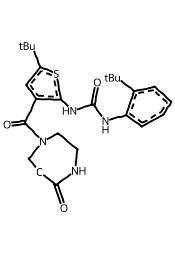 CC(C)(C)c1cc(C(=O)N2CCNC(=O)CC2)c(NC(=O)Nc2ccccc2C(C)(C)C)s1